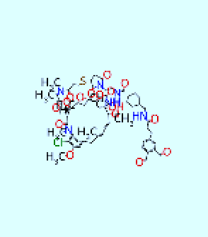 COc1cc2cc(c1Cl)N(C)C(=O)C[C@H](OC(=O)[C@H](C)N(C)C(=O)CCSC1CC(=O)N(CCNC(=O)[C@H]3CC[C@H](CNC(=O)CCc4ccc(C=O)c(C=O)c4)CC3)C1=O)C1(C)CC(C)(O1)C1CC(O)(NC(=O)O1)C(OC)/C=C/C=C(\C)C2